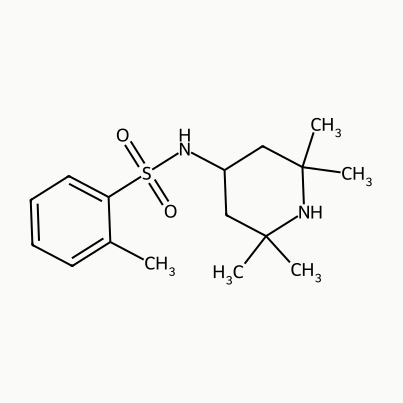 Cc1ccccc1S(=O)(=O)NC1CC(C)(C)NC(C)(C)C1